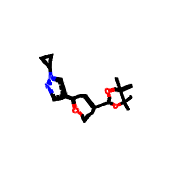 CC1(C)OB(C2=CC(c3cnn(C4CC4)c3)OCC2)OC1(C)C